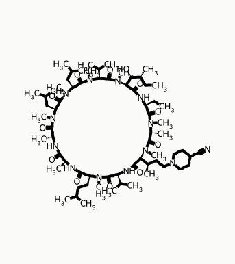 CC[C@@H]1NC(=O)[C@H]([C@H](O)[C@H](C)CC)N(C)C(=O)[C@H](C(C)C)N(C)C(=O)[C@H](CC(C)C)N(C)C(=O)[C@H](CC(C)C)N(C)C(=O)[C@@H](C)NC(=O)[C@H](C)NC(=O)[C@H](CCC(C)C)N(C)C(=O)[C@H](C(C)C)NC(=O)[C@H]([C@H](C)CCN2CCC(C#N)CC2)N(C)C(=O)[C@@H](C)N(C)C1=O